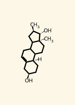 C[C@@H]1CC2C3CC=C4C[C@H](O)CC[C@@H]4C3CC[C@]2(C)[C@H]1O